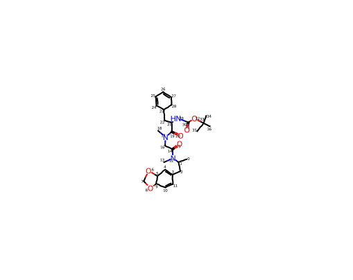 CC(CC1=CC2OCOC2C=C1)N(C)C(=O)CN(C)C(=O)C(CC1C=CC=CC1)NC(=O)OC(C)(C)C